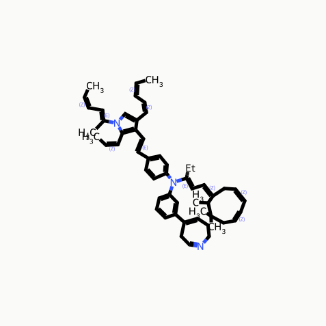 C/C=C\C=C/c1cn(/C(C)=C/C=C\C)c(/C=C\C)c1/C=C/c1ccc(N(/C(=C/C=C2/C/C=C\C=C/CC(C)(C)C2C)CC)c2cccc(C3=CCCN=CC3)c2)cc1